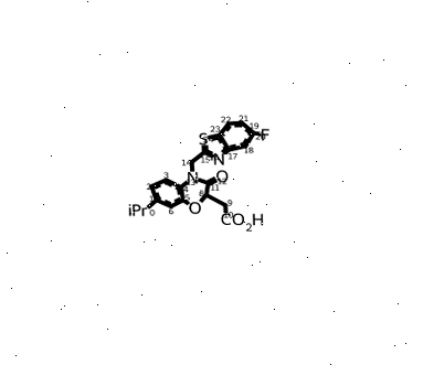 CC(C)c1ccc2c(c1)OC(CC(=O)O)C(=O)N2Cc1nc2cc(F)ccc2s1